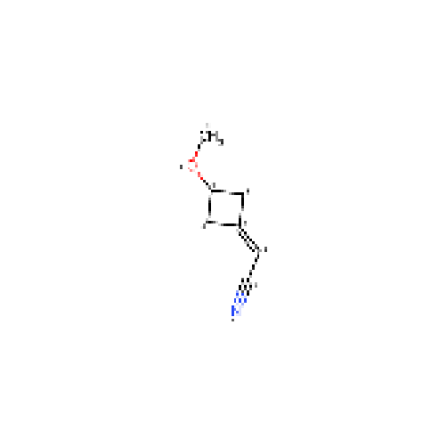 COC1CC(=CC#N)C1